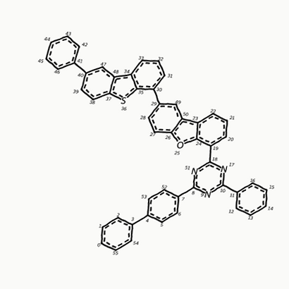 c1ccc(-c2ccc(-c3nc(-c4ccccc4)nc(-c4cccc5c4oc4ccc(-c6cccc7c6sc6ccc(-c8ccccc8)cc67)cc45)n3)cc2)cc1